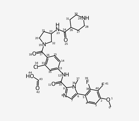 COc1ccc(-c2cnc(C(=O)Nc3ccc(C(=O)N4CCC(NC(=O)C5CCNCC5)C4)c(Cl)c3)n2C)c(F)c1F.O=CO